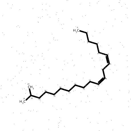 CCCCC/C=C\C/C=C\CCCCCCCCC(C)C